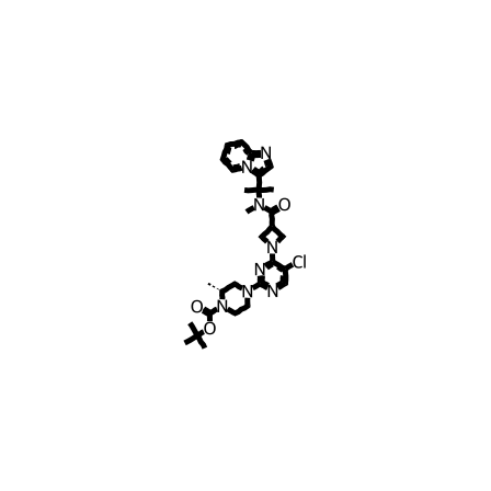 C[C@@H]1CN(c2ncc(Cl)c(N3CC(C(=O)N(C)C(C)(C)c4cnc5ccccn45)C3)n2)CCN1C(=O)OC(C)(C)C